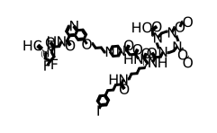 C#C[C@H]1CC(F)(F)CN1C(=O)CNC(=O)c1ccnc2ccc(OCCCCN3CCN(C(=O)CC(=O)NC(=O)[C@H](CCCCCNC(=O)CCCc4ccc(I)cc4)NC(=O)CN4CCN(COC=O)CCN(COC=O)CCN(CC(=O)O)CC4)CC3)cc12